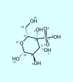 O=S(=O)(O)[C@@]1(O)[C@H](O)[C@@H](O)[C@H](O)O[C@@H]1CO